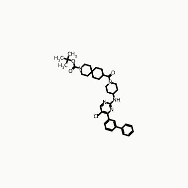 CC(C)(C)OC(=O)N1CCC2(CCC(C(=O)N3CCC(Nc4ncc(Cl)c(-c5cccc(-c6ccccc6)c5)n4)CC3)CC2)CC1